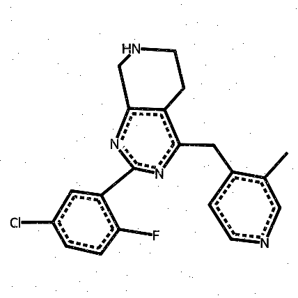 Cc1cnccc1Cc1nc(-c2cc(Cl)ccc2F)nc2c1CCNC2